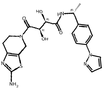 C[C@@H](NC(=O)[C@H](O)[C@@H](O)C(=O)N1CCc2nc(N)sc2C1)c1ccc(-n2cccn2)cc1